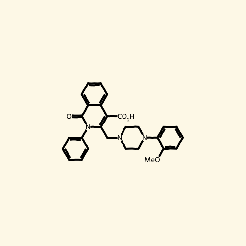 COc1ccccc1N1CCN(Cc2c(C(=O)O)c3ccccc3c(=O)n2-c2ccccc2)CC1